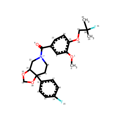 COc1cc(C(=O)N2CCC3(c4ccc(F)cc4)OCOC3C2)ccc1OCC(C)(C)F